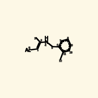 CC(=O)C=C(C)NCc1ccccc1C